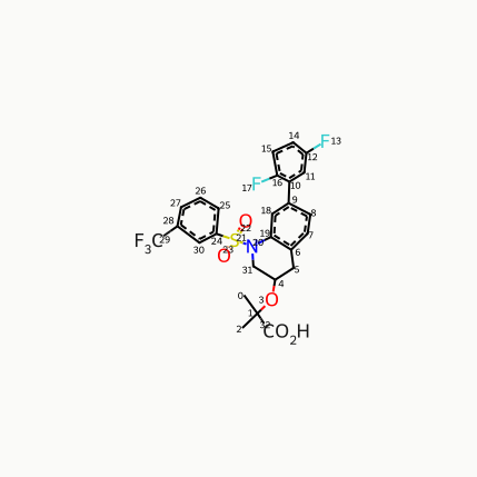 CC(C)(OC1Cc2ccc(-c3cc(F)ccc3F)cc2N(S(=O)(=O)c2cccc(C(F)(F)F)c2)C1)C(=O)O